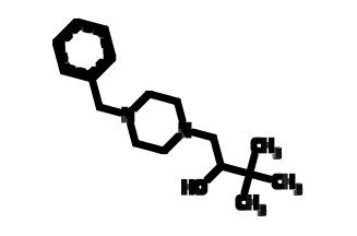 CC(C)(C)C(O)CN1CCN(Cc2ccccc2)CC1